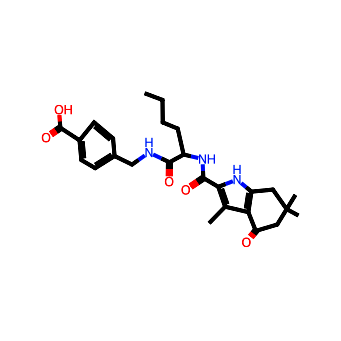 CCCCC(NC(=O)c1[nH]c2c(c1C)C(=O)CC(C)(C)C2)C(=O)NCc1ccc(C(=O)O)cc1